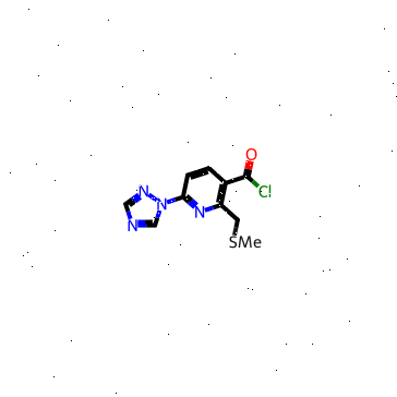 CSCc1nc(-n2cncn2)ccc1C(=O)Cl